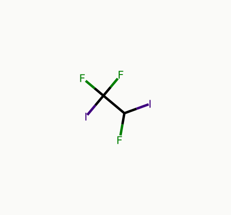 FC(I)C(F)(F)I